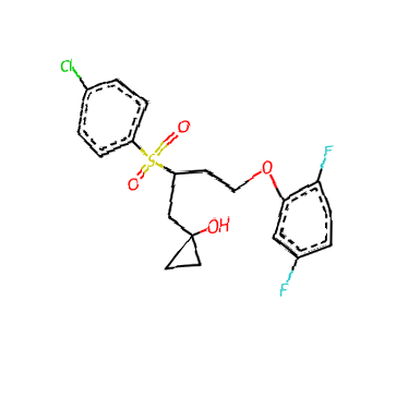 O=S(=O)(c1ccc(Cl)cc1)C(CCOc1cc(F)ccc1F)CC1(O)CC1